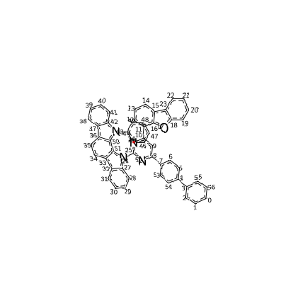 c1ccc(-c2ccc(-c3cc(-c4cccc5c4oc4ccccc45)nc(-n4c5ccccc5c5ccc6c7ccccc7n(-c7ccccc7)c6c54)n3)cc2)cc1